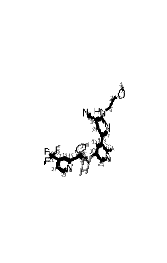 COCCNc1ncc(-c2cc(NC(=O)c3cc(C(F)(F)F)ccn3)cnc2C)cc1C#N